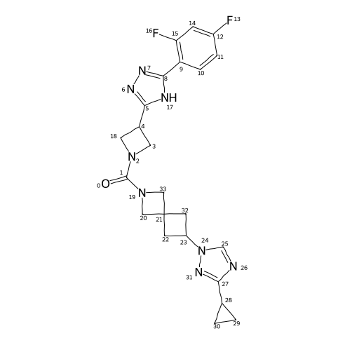 O=C(N1CC(c2nnc(-c3ccc(F)cc3F)[nH]2)C1)N1CC2(CC(n3cnc(C4CC4)n3)C2)C1